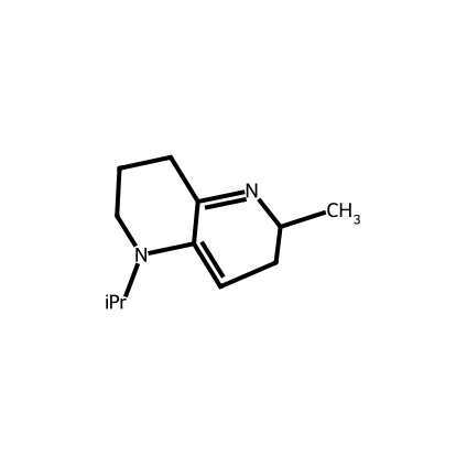 CC1CC=C2C(=N1)CCCN2C(C)C